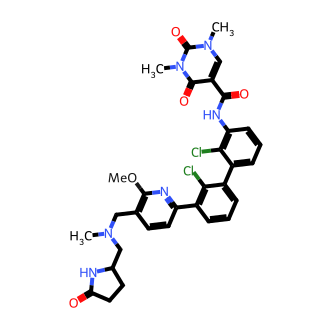 COc1nc(-c2cccc(-c3cccc(NC(=O)c4cn(C)c(=O)n(C)c4=O)c3Cl)c2Cl)ccc1CN(C)CC1CCC(=O)N1